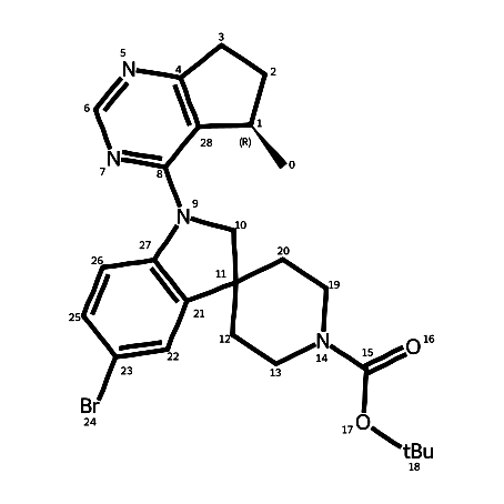 C[C@@H]1CCc2ncnc(N3CC4(CCN(C(=O)OC(C)(C)C)CC4)c4cc(Br)ccc43)c21